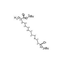 CCCCOC(=O)CCCCCCCCCCCC(C)C(=O)OCCCC